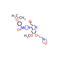 COC1=CC2=C(N3CCN(N(C=O)c4ccc(OC(C)C)cc4)CC3)C(=C=O)C=NC2C=C1OCCCN1CCOCC1